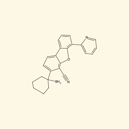 BC1(c2ccc3c(oc4c(-c5ccccn5)cccc43)c2C#N)CCCCC1